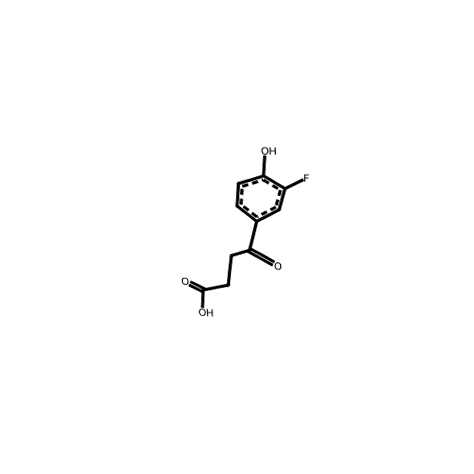 O=C(O)CCC(=O)c1ccc(O)c(F)c1